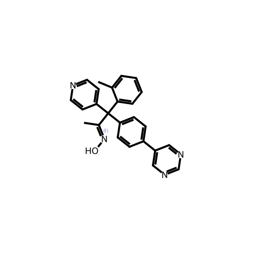 C/C(=N\O)C(c1ccncc1)(c1ccc(-c2cncnc2)cc1)c1ccccc1C